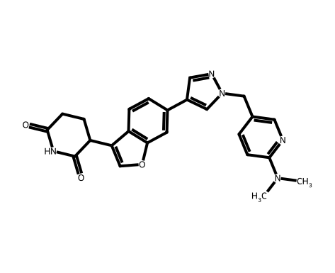 CN(C)c1ccc(Cn2cc(-c3ccc4c(C5CCC(=O)NC5=O)coc4c3)cn2)cn1